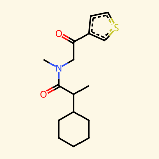 CC(C(=O)N(C)CC(=O)c1ccsc1)C1CCCCC1